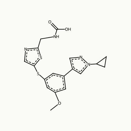 COc1cc(Sc2cnc(CNC(=O)O)s2)cc(-c2cnn(C3CC3)c2)c1